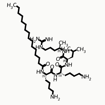 CCCCCCCCCCCCCCCC(=O)N[C@@H](CCCCN)C(=O)N[C@@H](CCCCN)C(=O)N[C@H](CC(C)C)C(=O)N[C@H](C)CCCNC(=N)N